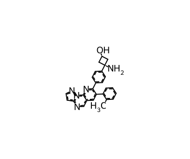 Cc1ccccc1-c1cc2cnc3ccnn3c2nc1-c1ccc([C@]2(N)C[C@@H](O)C2)cc1